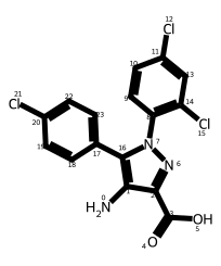 Nc1c(C(=O)O)nn(-c2ccc(Cl)cc2Cl)c1-c1ccc(Cl)cc1